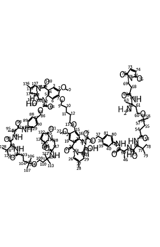 COc1cc2c(cc1OCCCCCOc1cc3c(cc1OC)C(=O)N1C=C(C)C[C@H]1[C@H](O)N3C(=O)OCc1ccc(NC(=O)[C@H](C)NC(=O)[C@@H](NC(=O)CCC(C)(C)OCCC(C)(N)NC(=O)CCN3C(=O)C=CC3=O)C(C)C)cc1)N(C(=O)OCc1ccc(NC(=O)[C@H](C)NC(=O)[C@@H](NC(=O)CCC(C)(C)OCCC(C)(C)NC(=O)CCN3C(=O)C=CC3=O)C(C)C)cc1)[C@@H](O)[C@@H]1CC(C)=CN1C2=O